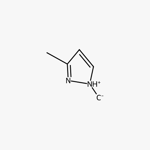 [CH2-][NH+]1C=CC(C)=N1